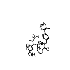 Cc1ncsc1-c1ccc(CNC(=O)C2CCCN2C(=O)[C@H](c2cc(O)no2)C(C)CO)cc1